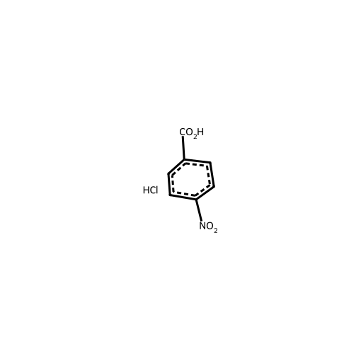 Cl.O=C(O)c1ccc([N+](=O)[O-])cc1